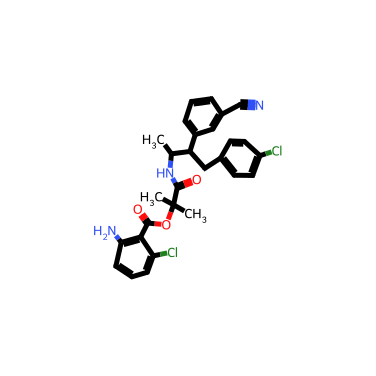 CC(NC(=O)C(C)(C)OC(=O)c1c(N)cccc1Cl)C(Cc1ccc(Cl)cc1)c1cccc(C#N)c1